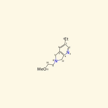 CCc1cnc2c(c1)CN(CCOC)C2